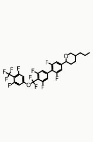 CCCC1CCC(c2cc(F)c(-c3cc(F)c(C(F)(F)Oc4cc(F)c(C(F)(F)F)c(F)c4)c(F)c3)c(F)c2)OC1